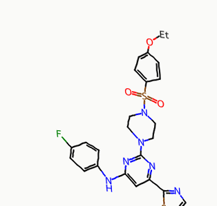 CCOc1ccc(S(=O)(=O)N2CCN(c3nc(Nc4ccc(F)cc4)cc(-c4nccs4)n3)CC2)cc1